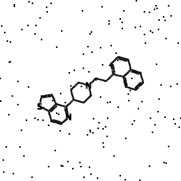 c1ccc2c(CCN3CCC(c4nccc5sccc45)CC3)cccc2c1